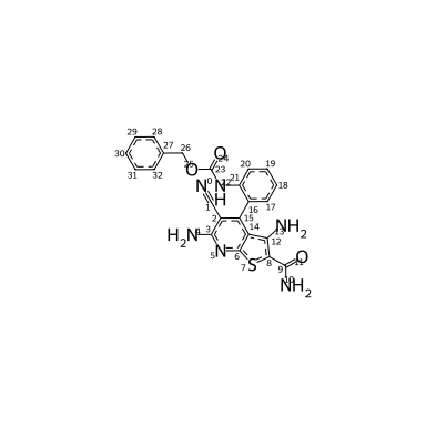 N#Cc1c(N)nc2sc(C(N)=O)c(N)c2c1-c1ccccc1NC(=O)OCc1ccccc1